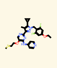 CCOc1cc(F)c(Cn2nc(-c3ncc(OCCSC)c(Nc4ccncc4)n3)c(C)c2C2CC2)c(F)c1